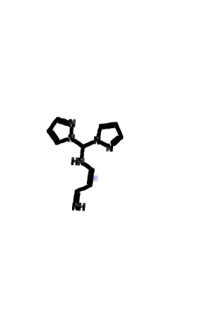 N=C/C=C\NC(n1cccn1)n1cccn1